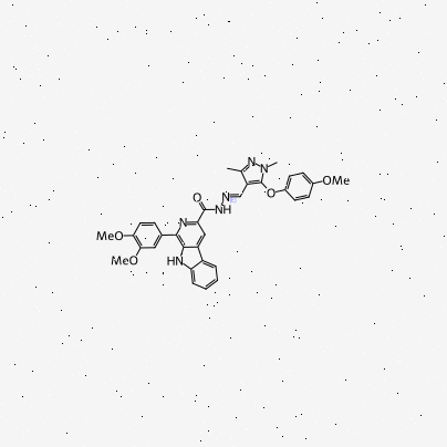 COc1ccc(Oc2c(/C=N/NC(=O)c3cc4c([nH]c5ccccc54)c(-c4ccc(OC)c(OC)c4)n3)c(C)nn2C)cc1